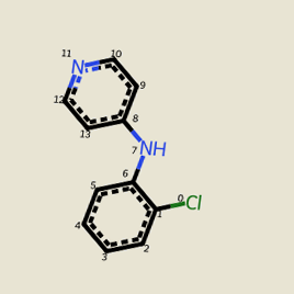 Clc1ccccc1Nc1ccncc1